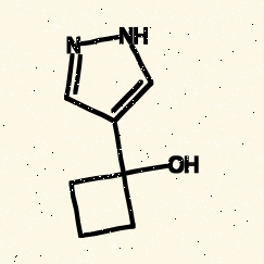 OC1(c2cn[nH]c2)CCC1